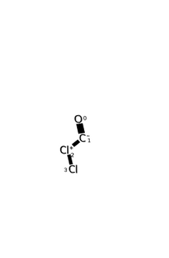 O=[C-][Cl+]Cl